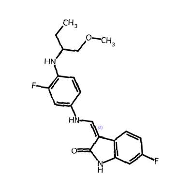 CCC(COC)Nc1ccc(N/C=C2\C(=O)Nc3cc(F)ccc32)cc1F